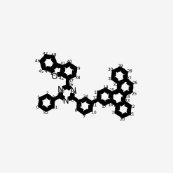 c1ccc(-c2nc(-c3cccc(-c4ccc5c(c4)c4ccccc4c4ccc6ccccc6c45)c3)nc(-c3cccc4c3oc3ccccc34)n2)cc1